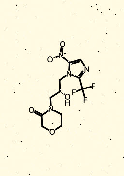 O=C1COCCN1C[C@@H](O)Cn1c([N+](=O)[O-])cnc1C(F)(F)F